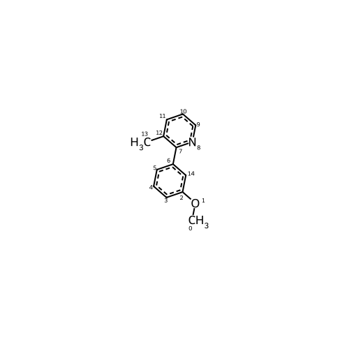 COc1cccc(-c2ncccc2C)c1